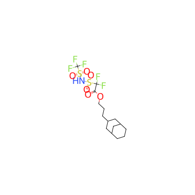 O=C(OCCCC1CC2CCCC(C1)C2)C(F)(F)S(=O)(=O)NS(=O)(=O)C(F)(F)F